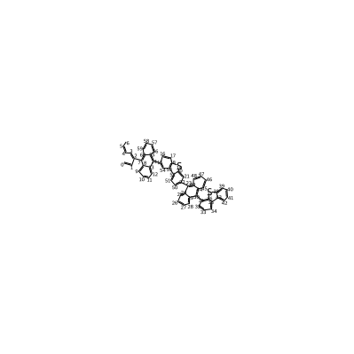 C=C/C(=C\C=C/C)c1c2ccccc2c(-c2ccc3sc4cc(-c5c6ccccc6c(-c6cccc7c6sc6ccccc67)c6ccccc56)ccc4c3c2)c2ccccc12